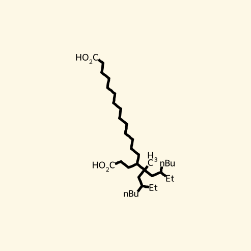 CCCCC(CC)CC(C)(CC(CC)CCCC)C(CCCCCCCCCCCCCC(=O)O)CCC(=O)O